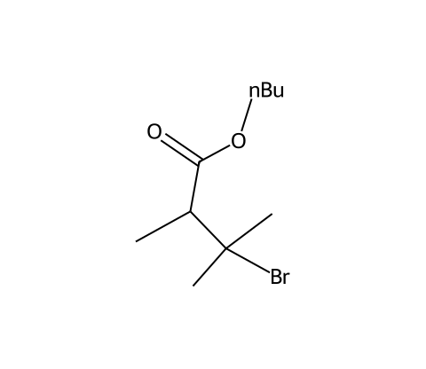 CCCCOC(=O)C(C)C(C)(C)Br